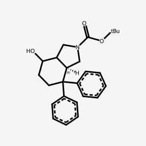 CC(C)(C)OC(=O)N1CC2C(O)CCC(c3ccccc3)(c3ccccc3)[C@@H]2C1